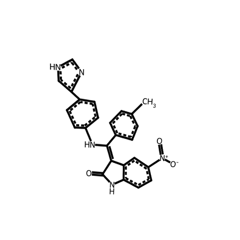 Cc1ccc(/C(Nc2ccc(-c3c[nH]cn3)cc2)=C2/C(=O)Nc3ccc([N+](=O)[O-])cc32)cc1